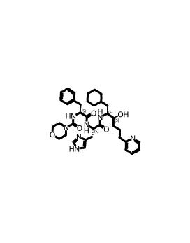 O=C(N[C@@H](CC1CCCCC1)[C@@H](O)CCCc1ccccn1)[C@H](Cc1c[nH]cn1)NC(=O)[C@H](Cc1ccccc1)NC(=O)N1CCOCC1